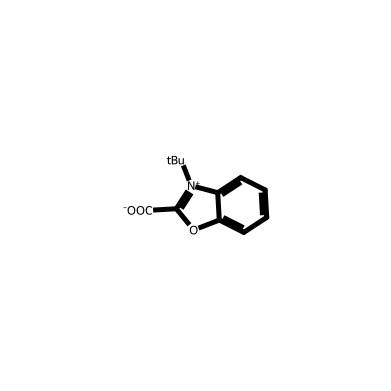 CC(C)(C)[n+]1c(C(=O)[O-])oc2ccccc21